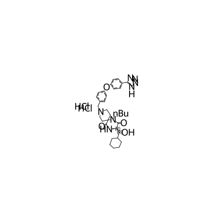 CCCCN1C(=O)[C@@H]([C@H](O)C2CCCCC2)NC(=O)C12CCN(Cc1ccc(Oc3ccc(-c4nnn[nH]4)cc3)cc1)CC2.Cl.Cl